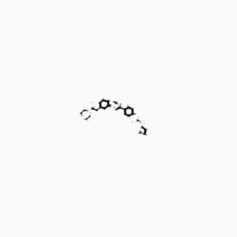 CC(C)(C)c1cc(NC(=O)Nc2ccc(-c3cn4c(n3)sc3ccc(CC(=O)N5CCOCC5)cc34)cc2)no1